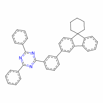 c1ccc(-c2nc(-c3ccccc3)nc(-c3cccc(-c4ccc5c(c4)-c4ccccc4C54CCCCC4)c3)n2)cc1